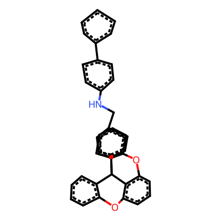 c1ccc(-c2ccc(NCc3ccc(C45c6ccccc6Oc6cccc(c64)Oc4ccccc45)cc3)cc2)cc1